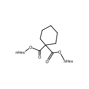 CCCCCCOC(=O)C1(C(=O)OCCCCCC)CCCCC1